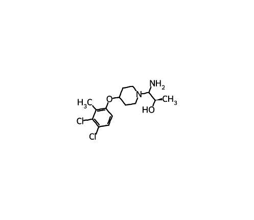 Cc1c(OC2CCN(C(N)[C@@H](C)O)CC2)ccc(Cl)c1Cl